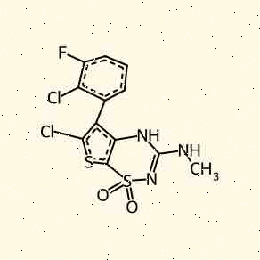 CNC1=NS(=O)(=O)c2sc(Cl)c(-c3cccc(F)c3Cl)c2N1